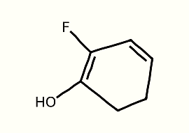 OC1=C(F)C=CCC1